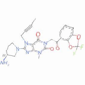 CC#CCn1c(N2CCC[C@H](N)C2)nc2c1c(=O)n(CC(=O)c1cccc3c1OC(F)(F)O3)c(=O)n2C